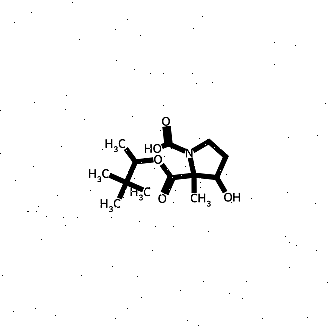 CC(OC(=O)C1(C)C(O)CCN1C(=O)O)C(C)(C)C